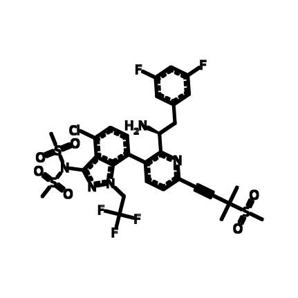 CC(C)(C#Cc1ccc(-c2ccc(Cl)c3c(N(S(C)(=O)=O)S(C)(=O)=O)nn(CC(F)(F)F)c23)c([C@@H](N)Cc2cc(F)cc(F)c2)n1)S(C)(=O)=O